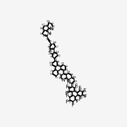 Fc1c(F)c(F)c2c(c1F)c1c(F)c(F)c(F)c(F)c1c1c(F)c(-c3ccc4ccc5c(-c6cccc7c8cc(-c9ccc%10c(c9)sc9cc(C#Cc%11ccc%12ccc%13cccnc%13c%12n%11)ccc9%10)ccc8c8ccccc8c67)ccnc5c4n3)c(F)c(F)c21